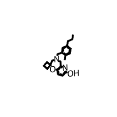 CCCc1ccc(C)c(CN2Cc3nc(O)ccc3OC3(CCC3)C2)c1